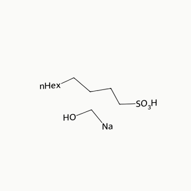 CCCCCCCCCCS(=O)(=O)O.O[CH2][Na]